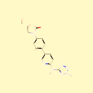 CN(c1ccc(-c2ccc(N3C[C@H](CO)OC3=O)cc2F)cn1)c1nnn(C)n1